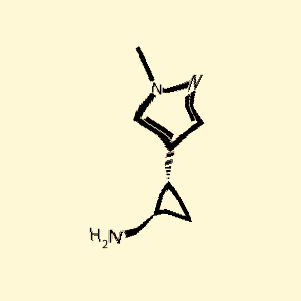 Cn1cc([C@@H]2C[C@H]2N)cn1